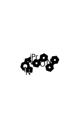 CC(C)c1cc2c(n1-c1ccc3oc4c(-n5c6ccccc6c6ccccc65)cccc4c3c1)-c1ccnn1CCC2